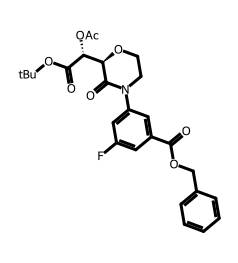 CC(=O)O[C@@H](C(=O)OC(C)(C)C)[C@H]1OCCN(c2cc(F)cc(C(=O)OCc3ccccc3)c2)C1=O